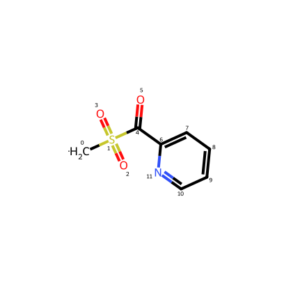 [CH2]S(=O)(=O)C(=O)c1ccccn1